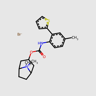 Cc1ccc(NC(=O)OC2CC3CCC(C2)[N+]3(C)C)c(-c2cccs2)c1.[Br-]